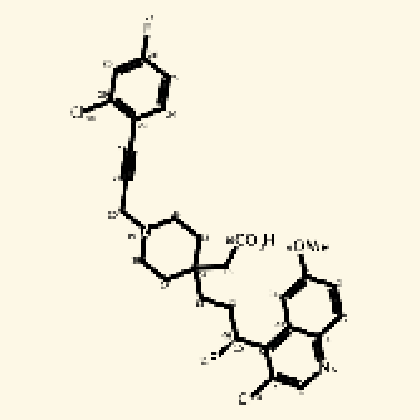 COc1ccc2ncc(Cl)c([C@@H](F)CCC3(CC(=O)O)CCN(CC#Cc4ccc(F)cc4Cl)CC3)c2c1